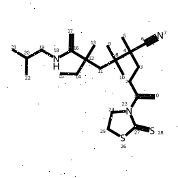 C=C(CCC(C)(C#N)C(C)(C)CC(C)(CC)C(=C)NCC(C)C)N1CCSC1=S